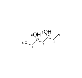 CCC(O)CC(O)CF